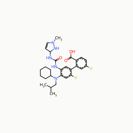 CC(C)CN(c1cc(F)c(-c2cc(F)ccc2C(=O)O)cc1NC(=O)NC1C=CN(C)N1)C1CCCCC1